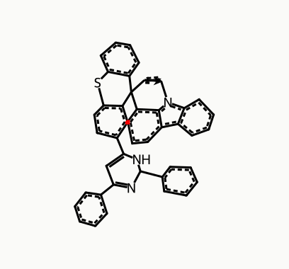 C1=C(c2ccc3c(c2)C2(c4ccccc4S3)c3ccccc3-n3c4ccccc4c4cccc2c43)NC(c2ccccc2)N=C1c1ccccc1